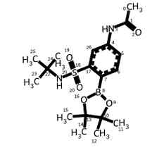 CC(=O)Nc1ccc(B2OC(C)(C)C(C)(C)O2)c(S(=O)(=O)NC(C)(C)C)c1